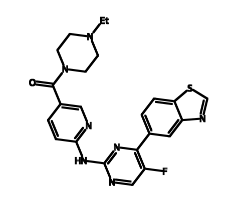 CCN1CCN(C(=O)c2ccc(Nc3ncc(F)c(-c4ccc5scnc5c4)n3)nc2)CC1